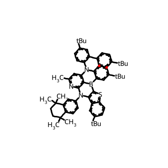 Cc1cc2c3c(n1)N(c1ccc4c(c1)C(C)(C)CCC4(C)C)c1c(sc4ccc(C(C)(C)C)cc14)B3c1cc(C(C)(C)C)ccc1N2c1ccc(C(C)(C)C)cc1-c1ccc(C(C)(C)C)cc1